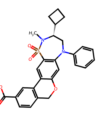 CN1[C@H](C2CCC2)CN(c2ccccc2)c2cc3c(cc2S1(=O)=O)-c1cc(C(=O)O)ccc1CO3